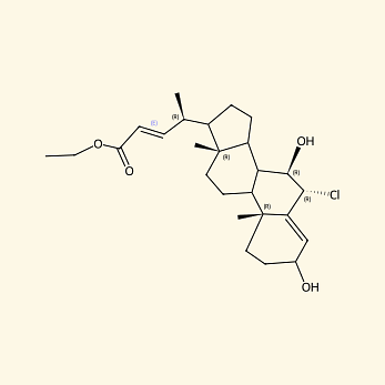 CCOC(=O)/C=C/[C@@H](C)C1CCC2C3C(CC[C@@]21C)[C@@]1(C)CCC(O)C=C1[C@@H](Cl)[C@@H]3O